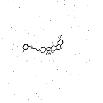 COc1ccc2ncc(Cl)c(C(F)CCC3(C(=O)O)CCN(CCCSc4cccc(C)c4)CC3)c2c1